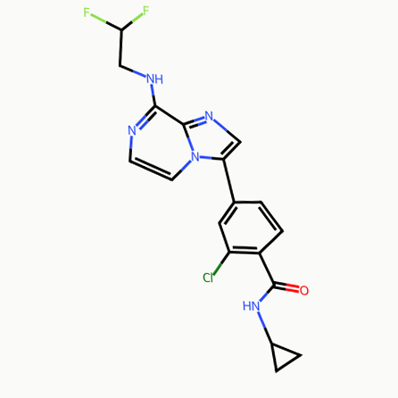 O=C(NC1CC1)c1ccc(-c2cnc3c(NCC(F)F)nccn23)cc1Cl